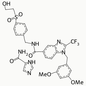 COc1cc(Cn2c(C(F)(F)F)nc3cc(C(=O)NCc4ccc(S(=O)(=O)CCO)cc4)ccc32)cc(OC)c1.NC(=O)c1cnc[nH]1